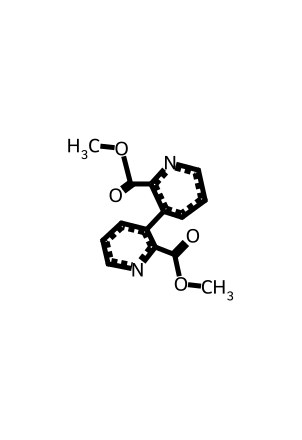 COC(=O)c1ncccc1-c1cccnc1C(=O)OC